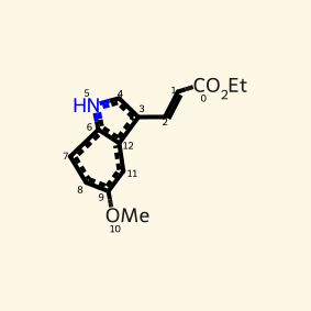 CCOC(=O)/C=C/c1c[nH]c2ccc(OC)cc12